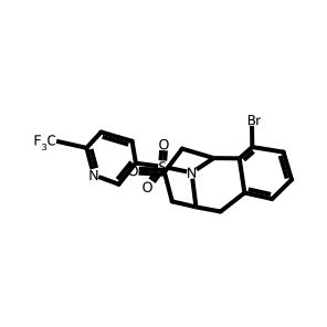 O=C1CC2Cc3cccc(Br)c3C(C1)N2S(=O)(=O)c1ccc(C(F)(F)F)nc1